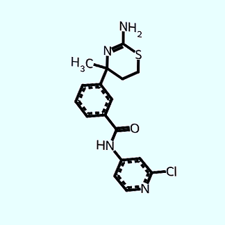 CC1(c2cccc(C(=O)Nc3ccnc(Cl)c3)c2)CCSC(N)=N1